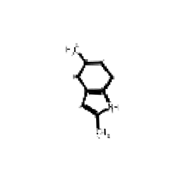 Cc1cc2c([nH]1)CCC(C)C2